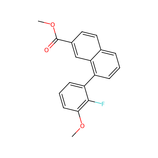 COC(=O)c1ccc2cccc(-c3cccc(OC)c3F)c2c1